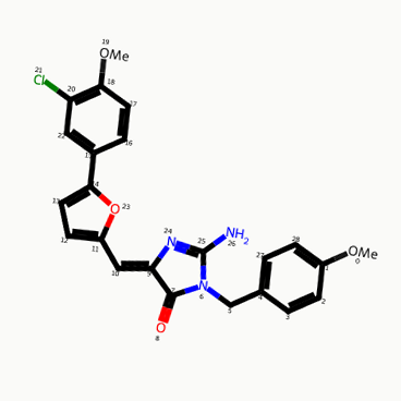 COc1ccc(CN2C(=O)C(=Cc3ccc(-c4ccc(OC)c(Cl)c4)o3)N=C2N)cc1